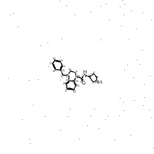 O=C(NC1CCNC1)N1CCN(Cc2ccccc2)c2ccccc21